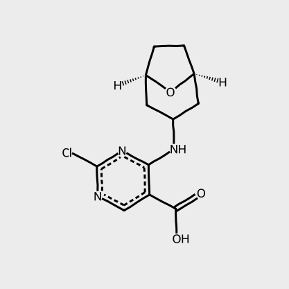 O=C(O)c1cnc(Cl)nc1NC1C[C@H]2CC[C@@H](C1)O2